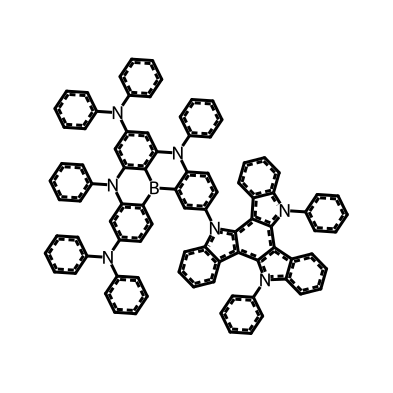 c1ccc(N(c2ccccc2)c2ccc3c(c2)N(c2ccccc2)c2cc(N(c4ccccc4)c4ccccc4)cc4c2B3c2cc(-n3c5ccccc5c5c6c(c7ccccc7n6-c6ccccc6)c6c(c7ccccc7n6-c6ccccc6)c53)ccc2N4c2ccccc2)cc1